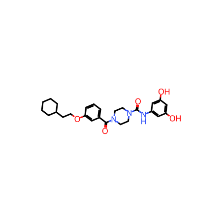 O=C(Nc1cc(O)cc(O)c1)N1CCN(C(=O)c2cccc(OCCC3CCCCC3)c2)CC1